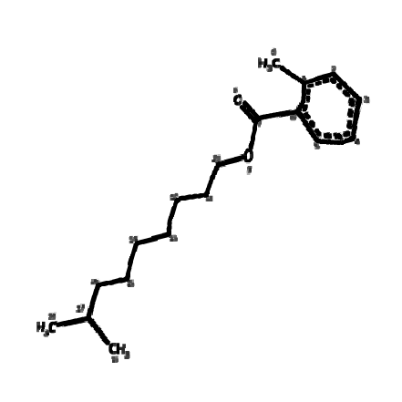 Cc1ccccc1C(=O)OCCCCCCCC(C)C